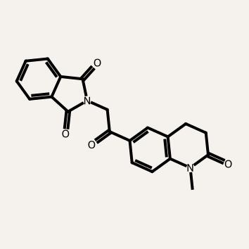 CN1C(=O)CCc2cc(C(=O)CN3C(=O)c4ccccc4C3=O)ccc21